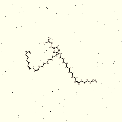 CCCCC/C=C\C/C=C\CCCCCCCCC1(CCCCCCCCCCC/C=C\CCCCC)OCC(CCN(C)C)O1